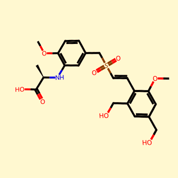 COc1ccc(CS(=O)(=O)/C=C/c2c(CO)cc(CO)cc2OC)cc1N[C@H](C)C(=O)O